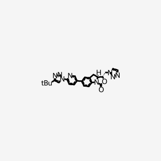 CC(C)(C)c1cn(-c2ccc(-c3ccc4c(c3)C[C@H]3[C@H](Cn5ccnn5)OC(=O)N43)cn2)nn1